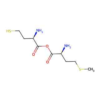 CSCC[C@H](N)C(=O)OC(=O)[C@H](N)CCS